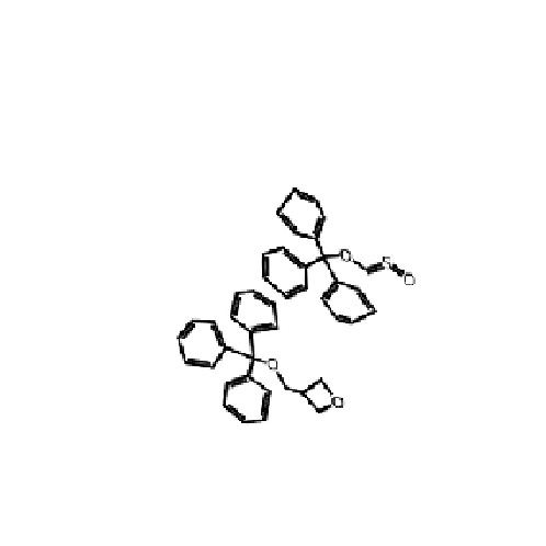 O=S=COC(c1ccccc1)(c1ccccc1)c1ccccc1.c1ccc(C(OCC2COC2)(c2ccccc2)c2ccccc2)cc1